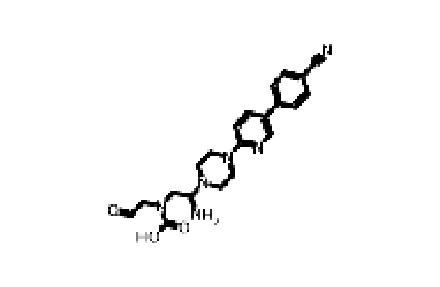 N#Cc1ccc(-c2ccc(N3CCN(C(N)CN(CC=O)C(=O)O)CC3)nc2)cc1